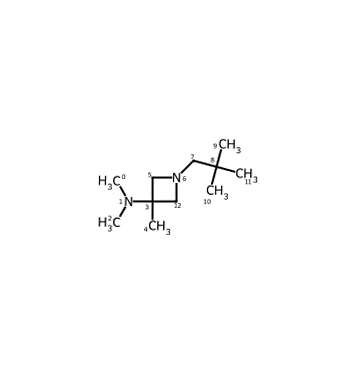 CN(C)C1(C)CN(CC(C)(C)C)C1